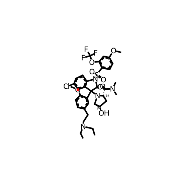 CCN(CC)CCc1ccc(OC)c(C2(N3C[C@H](O)C[C@H]3C(=O)N(C)C)C(=O)N(S(=O)(=O)c3ccc(OC)cc3OC(F)(F)F)c3ccc(Cl)cc32)c1